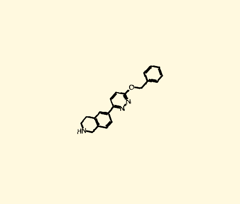 c1ccc(COc2ccc(-c3ccc4c(c3)CCNC4)nn2)cc1